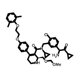 COCOC[C@H]1NCCC(c2ccc(OCCOc3c(C)cccc3C)cc2)=C1C(=O)N(Cc1cc(C(N)C(=O)C2CC2)ccc1Cl)C1CC1